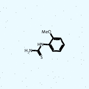 COc1ccccc1NC(N)=S